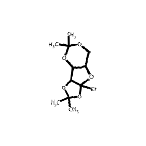 CCC12OC3COC(C)(C)OC3C1OC(C)(C)O2